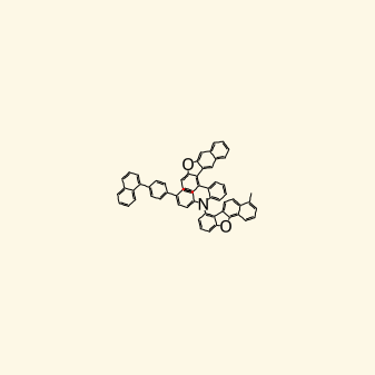 Cc1cccc2c1ccc1c2oc2cccc(N(c3ccc(-c4ccc(-c5cccc6ccccc56)cc4)cc3)c3ccccc3-c3cccc4oc5cc6ccccc6cc5c34)c21